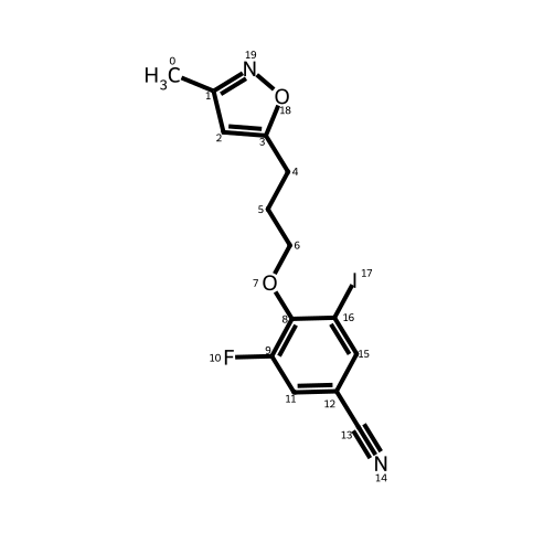 Cc1cc(CCCOc2c(F)cc(C#N)cc2I)on1